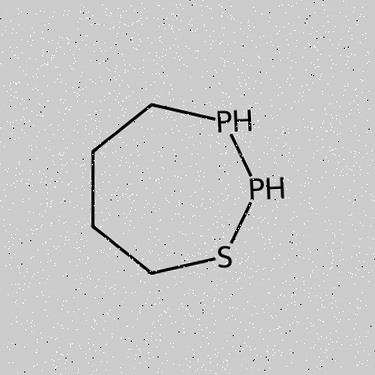 C1CCSPPC1